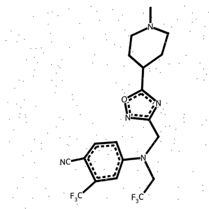 CN1CCC(c2nc(CN(CC(F)(F)F)c3ccc(C#N)c(C(F)(F)F)c3)no2)CC1